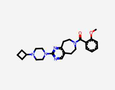 COc1ccccc1C(=O)N1CCc2cnc(N3CCN(C4CCC4)CC3)nc2CC1